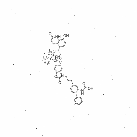 CC(C)(C)[Si](C)(C)O[C@@H](CNCc1ccc2oc(=O)n(C/C=C/c3ccc(-c4ccccc4)c(NC(=O)O)c3)c2c1)c1ccc(O)c2[nH]c(=O)ccc12